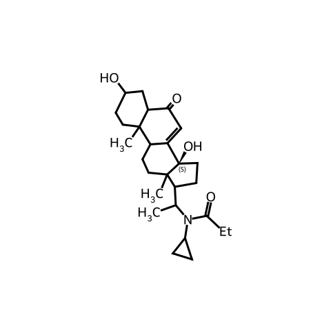 CCC(=O)N(C1CC1)C(C)C1CC[C@@]2(O)C3=CC(=O)C4CC(O)CCC4(C)C3CCC12C